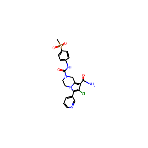 CS(=O)(=O)c1ccc(NC(=O)N2CCn3c(c(C(N)=O)c(Cl)c3-c3cccnc3)C2)cc1